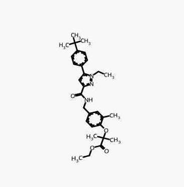 CCOC(=O)C(C)(C)Oc1ccc(CNC(=O)c2cc(-c3ccc(C(C)(C)C)cc3)n(CC)n2)cc1C